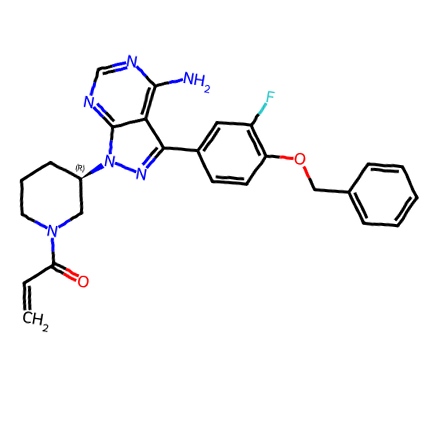 C=CC(=O)N1CCC[C@@H](n2nc(-c3ccc(OCc4ccccc4)c(F)c3)c3c(N)ncnc32)C1